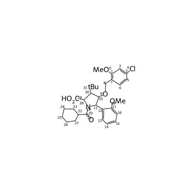 COc1cc(Cl)ccc1COC1C(c2ccccc2OC)N(C(=O)C2CCCCC2)C(C(=O)O)C1C(C)(C)C